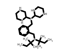 CCC(C)(C)P(Cc1ccccc1CP(C1CNCCN1)C1CNCCN1)C(C)(C)CC